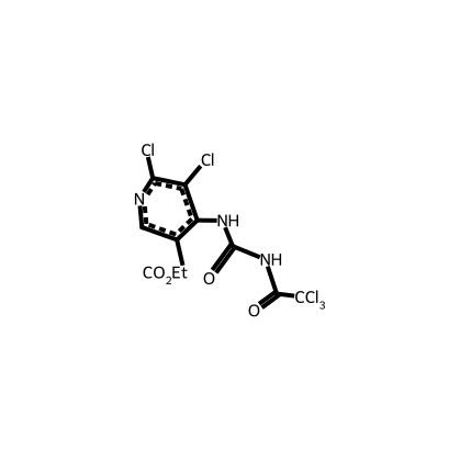 CCOC(=O)c1cnc(Cl)c(Cl)c1NC(=O)NC(=O)C(Cl)(Cl)Cl